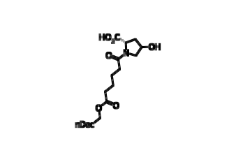 CCCCCCCCCCCOC(=O)CCCCC(=O)N1CC(O)C[C@H]1C(=O)O